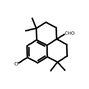 CC1(C)CCC2(C=O)CCC(C)(C)c3cc(Cl)cc1c32